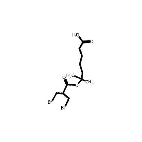 CC(C)(CCCCC(=O)O)OC(=O)C(CBr)CBr